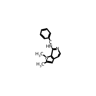 Cc1cc2ccnc(NCc3ccccc3)c2n1C